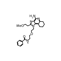 COCCc1nc2c(N)nc3c(c2n1CCOCCN(C)C(=O)c1ccccc1)CCCC3